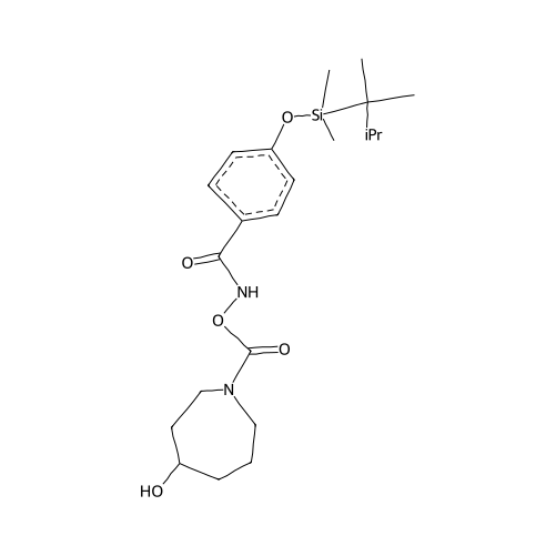 CC(C)C(C)(C)[Si](C)(C)Oc1ccc(C(=O)NOC(=O)N2CCCC(O)CC2)cc1